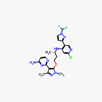 Cc1nn(C)c(OCC[C@H](C)Nc2cc(Cl)ncc2-c2ccn(C(F)F)n2)c1-c1nccc(N)n1